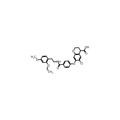 CCOc1cc(OC)ccc1CCNC(=O)c1ccc(Oc2cc3c(cc2Cl)C(C(=O)O)CCO3)cc1